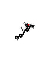 Cc1c(C(=O)CCCc2ccc(-c3cccnc3)cc2)ccc2c1[C@]13CCN(CC4CC4)[C@H](C2)[C@]1(C)CCC(=O)C3